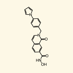 O=C(NO)c1ccc2ccn(Cc3ccc(-n4cccc4)cc3)c(=O)c2c1